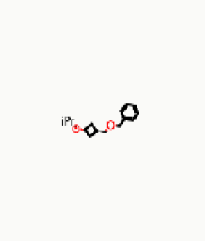 CC(C)O[C@H]1C[C@@H](COCc2ccccc2)C1